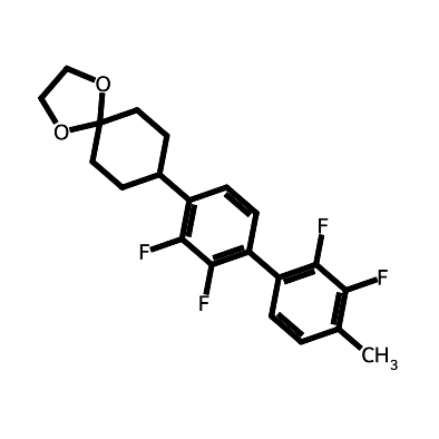 Cc1ccc(-c2ccc(C3CCC4(CC3)OCCO4)c(F)c2F)c(F)c1F